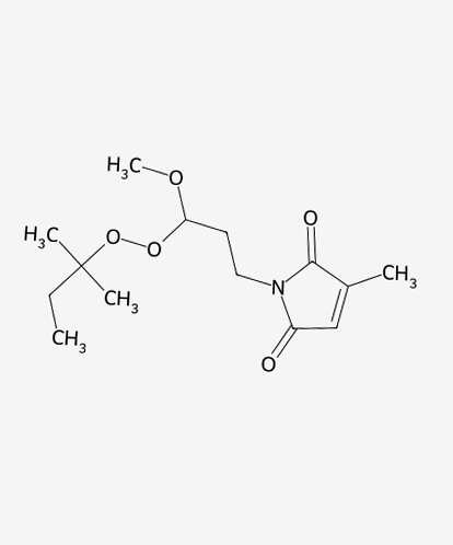 CCC(C)(C)OOC(CCN1C(=O)C=C(C)C1=O)OC